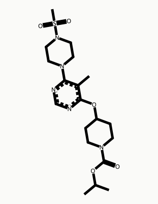 Cc1c(OC2CCN(C(=O)OC(C)C)CC2)ncnc1N1CCN(S(C)(=O)=O)CC1